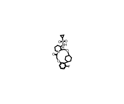 O=C1COc2cccc(F)c2C2CCC(CC2)OC[C@H]2C(NS(=O)(=O)C3CC3)CCCN12